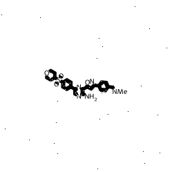 CNCc1ccc(-c2cc(-c3nc(-c4ccc(S(=O)(=O)C5CCOCC5)cc4)cnc3N)on2)cc1